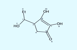 CCC(O)C1CC(=O)C(O)=C1O